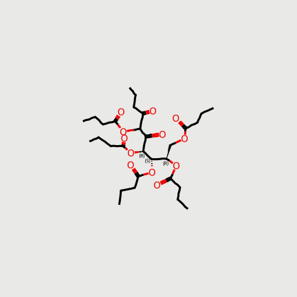 CCCC(=O)OC[C@@H](OC(=O)CCC)[C@H](OC(=O)CCC)[C@@H](OC(=O)CCC)C(=O)C(OC(=O)CCC)C(=O)CCC